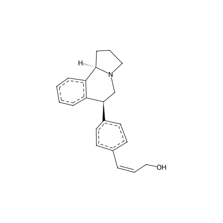 OC/C=C\c1ccc([C@@H]2CN3CCC[C@@H]3c3ccccc32)cc1